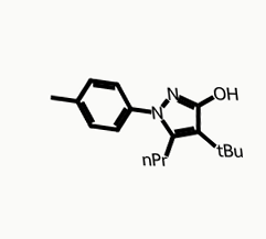 CCCc1c(C(C)(C)C)c(O)nn1-c1ccc(C)cc1